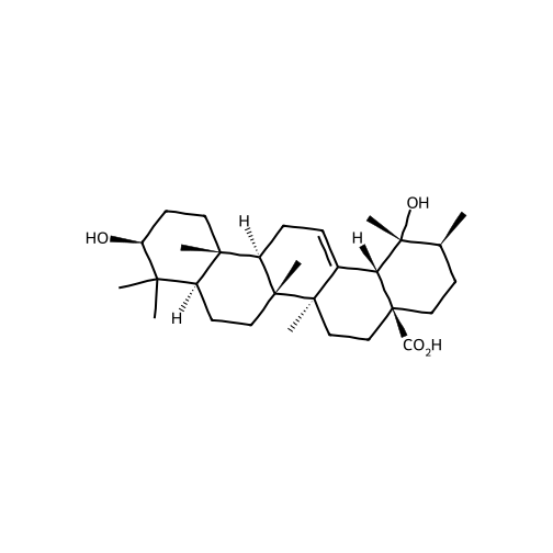 C[C@H]1CC[C@]2(C(=O)O)CC[C@]3(C)C(=CC[C@@H]4[C@@]5(C)CC[C@H](O)C(C)(C)[C@@H]5CC[C@]43C)[C@@H]2[C@]1(C)O